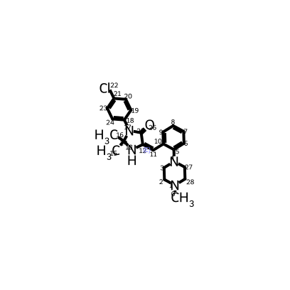 CN1CCN(c2ccccc2/C=C2/NC(C)(C)N(c3ccc(Cl)cc3)C2=O)CC1